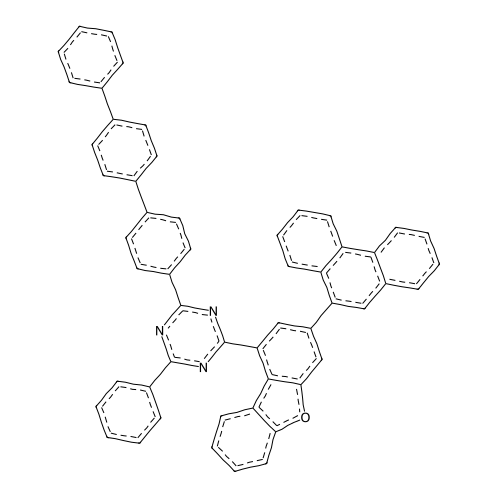 c1ccc(-c2ccc(-c3ccc(-c4nc(-c5ccccc5)nc(-c5cc(-c6cc7ccccc7c7ccccc67)cc6oc7ccccc7c56)n4)cc3)cc2)cc1